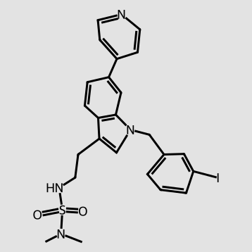 CN(C)S(=O)(=O)NCCc1cn(Cc2cccc(I)c2)c2cc(-c3ccncc3)ccc12